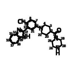 O=C(C1CCN(c2ccc(Cl)c(-c3nc4ccccc4[nH]3)c2)CC1)N1CCNCC1